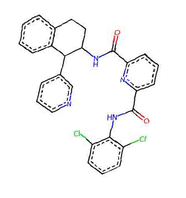 O=C(Nc1c(Cl)cccc1Cl)c1cccc(C(=O)NC2CCc3ccccc3C2c2cccnc2)n1